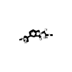 C=C=C(O)C(CC)N1Cc2ccc(-c3cnn(C)c3)cc2C1=O